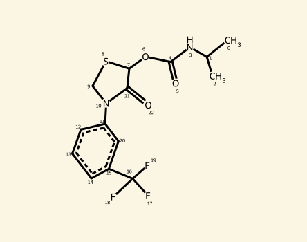 CC(C)NC(=O)OC1SCN(c2cccc(C(F)(F)F)c2)C1=O